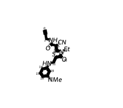 C#CCNC(=O)C(C#N)=c1sc(=CNc2cccc(NC)c2)c(=O)n1CC